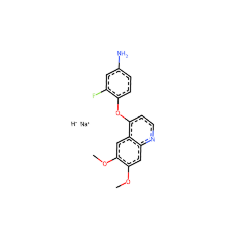 COc1cc2nccc(Oc3ccc(N)cc3F)c2cc1OC.[H-].[Na+]